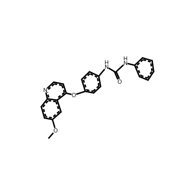 COc1ccc2nccc(Oc3ccc(NC(=O)Nc4ccccc4)cc3)c2c1